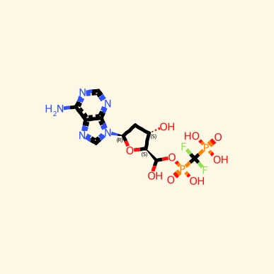 Nc1ncnc2c1ncn2[C@H]1C[C@H](O)[C@@H](C(O)OP(=O)(O)C(F)(F)P(=O)(O)O)O1